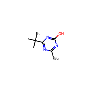 CCC(C)(C)c1nc(O)nc(C(C)(C)C)n1